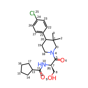 CC1(C)CN(C(=O)[C@@H](CO)NC(=O)C2CCCC2)CCC1c1ccc(Cl)cc1